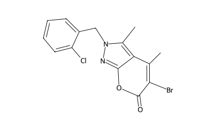 Cc1c(Br)c(=O)oc2nn(Cc3ccccc3Cl)c(C)c12